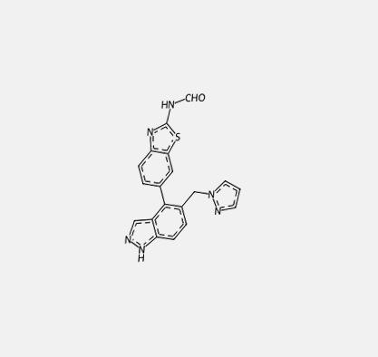 O=CNc1nc2ccc(-c3c(Cn4cccn4)ccc4[nH]ncc34)cc2s1